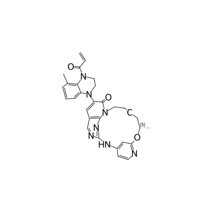 C=CC(=O)N1CCN(c2cc3cnc4nc3n(c2=O)CCCC[C@H](C)Oc2cc(ccn2)N4)c2cccc(C)c21